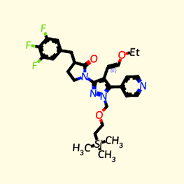 CCO/C=C/c1c(N2CCC(Cc3cc(F)c(F)c(F)c3)C2=O)nn(COCC[Si](C)(C)C)c1-c1ccncc1